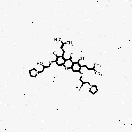 CC(C)=CCc1c(OCC(C)CN2CCCC2)cc2oc3cc(OCC(O)CN4CCCC4)c(C)c(CC=C(C)C)c3c(=O)c2c1O